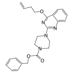 C=CCCOc1nc(N2CCN(C(=O)OCc3ccccc3)CC2)nc2ccccc12